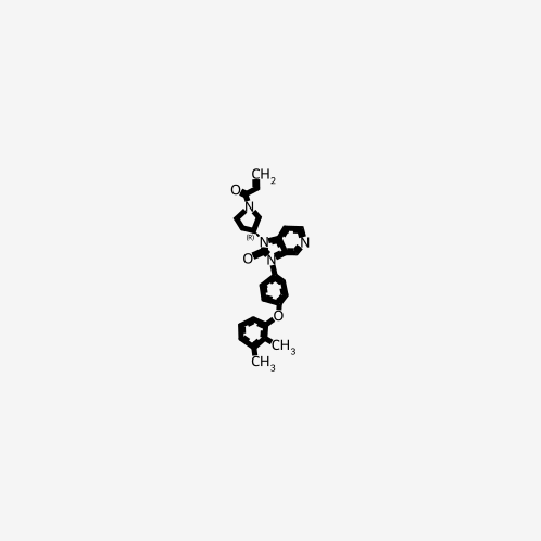 C=CC(=O)N1CC[C@@H](n2c(=O)n(-c3ccc(Oc4cccc(C)c4C)cc3)c3cnccc32)C1